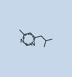 Cc1cc(CC(C)C)ncn1